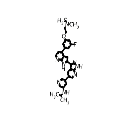 CC(C)Nc1cncc(-c2cnc3[nH]nc(-c4cc5c(-c6cc(F)cc(OCCN(C)C)c6)ccnc5[nH]4)c3c2)c1